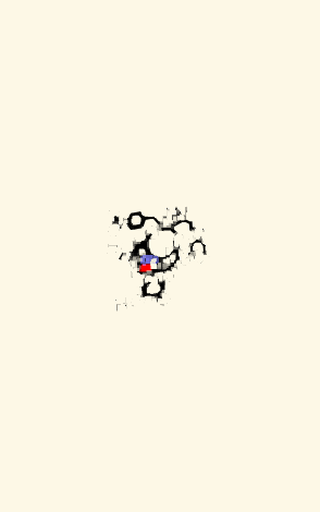 CC[C@H]1OC(=O)[C@H](C)[C@@H](O[C@H]2C[C@@](C)(OC)[C@@H](O)[C@H](C)O2)[C@H](C)[C@@H](O[C@@H]2O[C@H](C)C[C@H](N(C)CCc3cn(CCc4ccc([N+](=O)[O-])cc4)nn3)C2O)[C@@]2(C)C[C@@H](C)/C(=N\O)[C@H](C)C(OC[C@@H](C)CO2)[C@]1(C)O